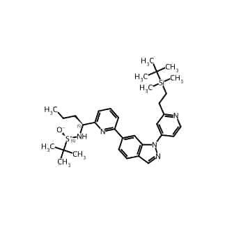 CCC[C@H](N[S@+]([O-])C(C)(C)C)c1cccc(-c2ccc3cnn(-c4ccnc(CC[Si](C)(C)C(C)(C)C)c4)c3c2)n1